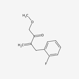 C=C(Cc1ccccc1F)C(=O)COC